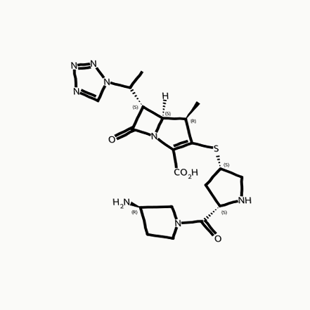 CC([C@H]1C(=O)N2C(C(=O)O)=C(S[C@@H]3CN[C@H](C(=O)N4CC[C@@H](N)C4)C3)[C@H](C)[C@H]12)n1cnnn1